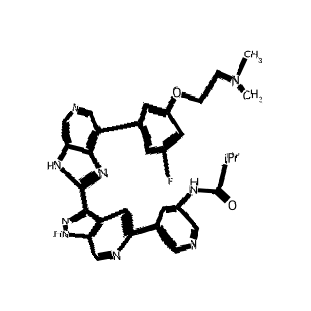 CC(C)C(=O)Nc1cncc(-c2cc3c(-c4nc5c(-c6cc(F)cc(OCCN(C)C)c6)cncc5[nH]4)n[nH]c3cn2)c1